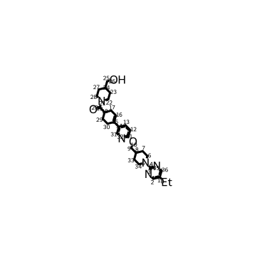 CCc1cnc(N2CCC(COc3ccc(C4=CCC(C(=O)N5CCC(CO)CC5)CC4)cn3)CC2)nc1